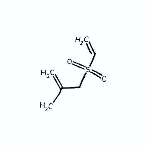 C=CS(=O)(=O)CC(=C)C